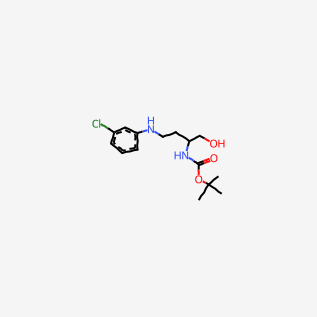 CC(C)(C)OC(=O)NC(CO)CCNc1cccc(Cl)c1